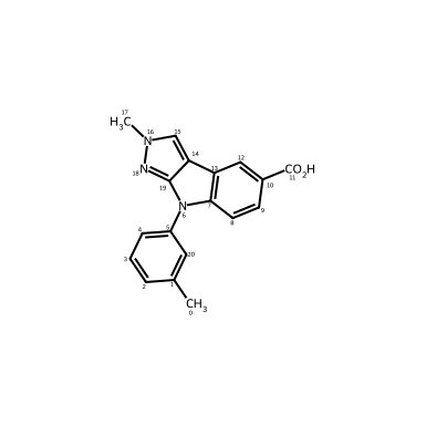 Cc1cccc(-n2c3ccc(C(=O)O)cc3c3cn(C)nc32)c1